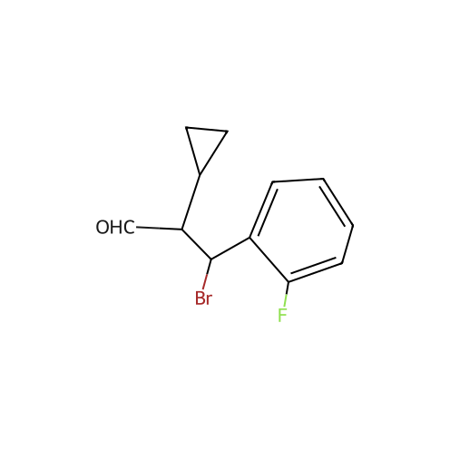 O=CC(C1CC1)C(Br)c1ccccc1F